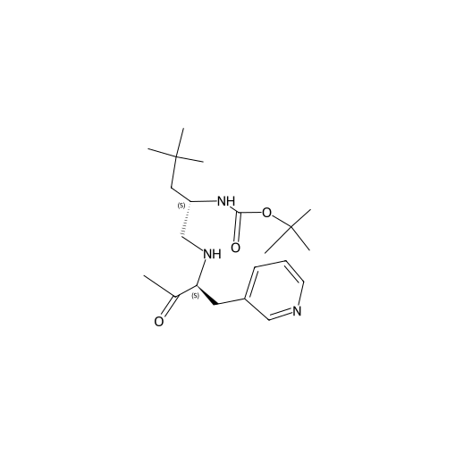 CC(=O)[C@H](Cc1cccnc1)NC[C@H](CC(C)(C)C)NC(=O)OC(C)(C)C